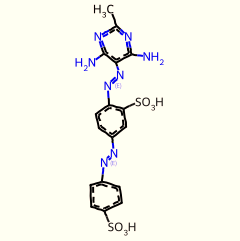 Cc1nc(N)c(/N=N/c2ccc(/N=N/c3ccc(S(=O)(=O)O)cc3)cc2S(=O)(=O)O)c(N)n1